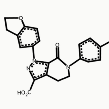 O=C(O)c1nn(-c2ccc3c(c2)CCO3)c2c1CCN(c1ccc(I)cc1)C2=O